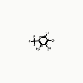 FC(F)(F)c1nc(Cl)c(Cl)c(S)c1S